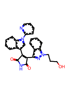 O=C1NC(=O)C(c2nn(CCCO)c3ccccc23)=C1c1cn(-c2ccccn2)c2ccccc12